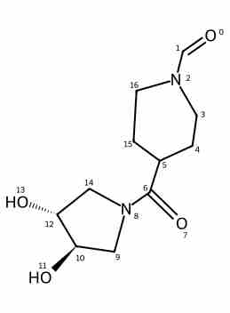 O=CN1CCC(C(=O)N2C[C@@H](O)[C@H](O)C2)CC1